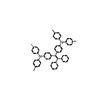 Cc1ccc(N(c2ccc(C)cc2)c2ccc(C(=C(c3ccccc3)c3ccccc3)c3ccc(N(c4ccc(C)cc4)c4ccc(C)cc4)cc3)cc2)cc1